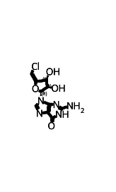 Nc1nc2c(ncn2[C@@H]2OC(=CCl)[C@@H](O)[C@H]2O)c(=O)[nH]1